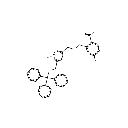 COC(=O)c1ccc(C(F)(F)F)nc1COCc1nc(COC(c2ccccc2)(c2ccccc2)c2ccccc2)n(C)n1